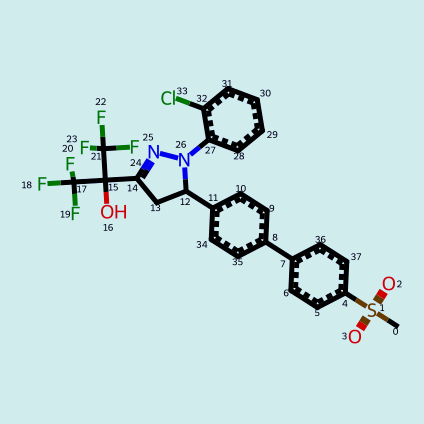 CS(=O)(=O)c1ccc(-c2ccc(C3CC(C(O)(C(F)(F)F)C(F)(F)F)=NN3c3ccccc3Cl)cc2)cc1